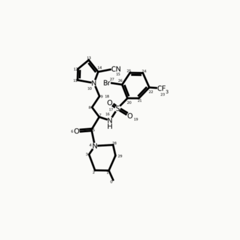 CC1CCN(C(=O)C(CCn2cccc2C#N)NS(=O)(=O)c2cc(C(F)(F)F)ccc2Br)CC1